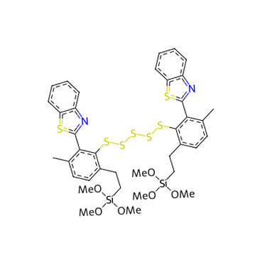 CO[Si](CCc1ccc(C)c(-c2nc3ccccc3s2)c1SSSSSc1c(CC[Si](OC)(OC)OC)ccc(C)c1-c1nc2ccccc2s1)(OC)OC